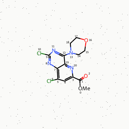 COC(=O)c1cc(Cl)c2nc(Cl)nc(N3CCOCC3)c2n1